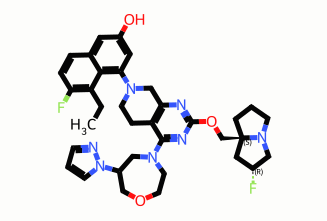 CCc1c(F)ccc2cc(O)cc(N3CCc4c(nc(OC[C@@]56CCCN5C[C@H](F)C6)nc4N4CCOCC(n5cccn5)C4)C3)c12